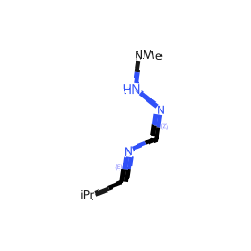 CNN/N=C\N=C\C(C)C